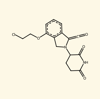 O=C=C1c2cccc(OCCCl)c2CN1C1CCC(=O)NC1=O